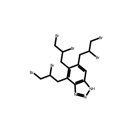 BrCC(Br)Cc1cc2[nH]nnc2c(CC(Br)CBr)c1CC(Br)CBr